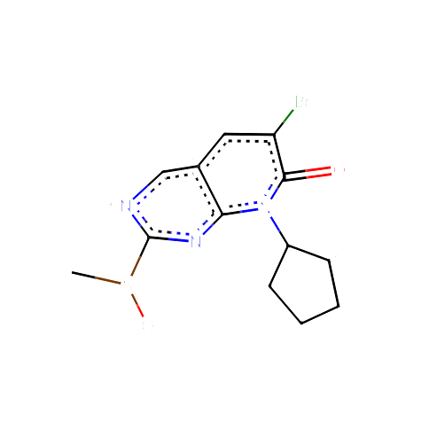 C[S+]([O-])c1ncc2cc(Br)c(=O)n(C3CCCC3)c2n1